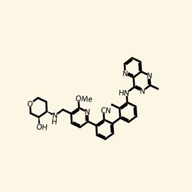 COc1nc(-c2cccc(-c3cccc(Nc4nc(C)nc5cccnc45)c3C)c2C#N)ccc1CN[C@@H]1CCOC[C@@H]1O